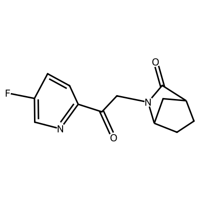 O=C(CN1C(=O)C2CCC1C2)c1ccc(F)cn1